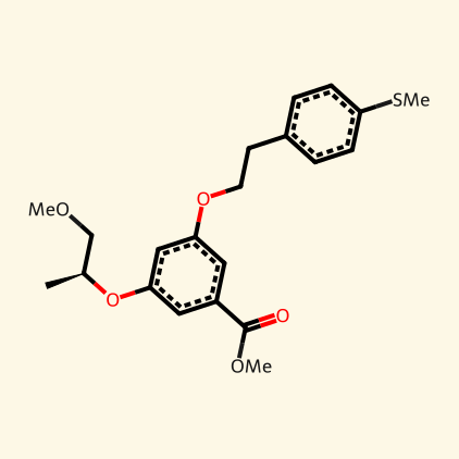 COC[C@H](C)Oc1cc(OCCc2ccc(SC)cc2)cc(C(=O)OC)c1